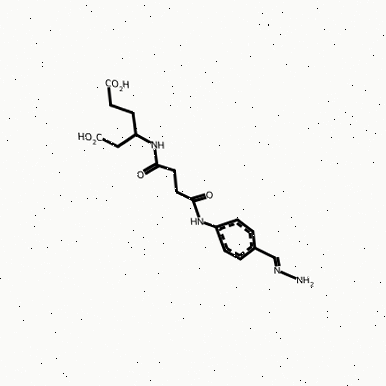 NN=Cc1ccc(NC(=O)CCC(=O)NC(CCC(=O)O)CC(=O)O)cc1